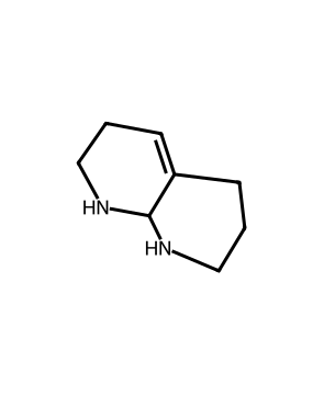 C1=C2CCCNC2NCC1